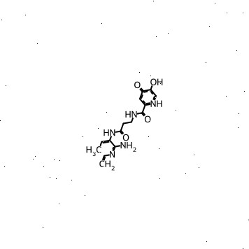 C=C/N=C(N)\C(=C/C)NC(=O)CCNC(=O)c1cc(=O)c(O)c[nH]1